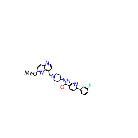 COc1ccc2nccc(CN3CCC(NC(=O)c4ccc(-c5cccc(F)c5)nc4)CC3)c2n1